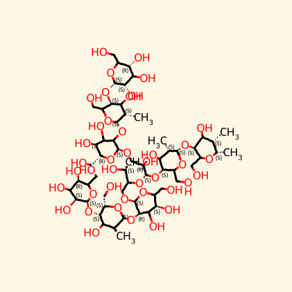 CC1C(O)[C@H](O[C@@H]2OC(CO)[C@H](O)C(O)[C@@H]2O)[C@H](CO)O[C@H]1O[C@@H]1C(O)[C@H](O)C(CO)O[C@@H]1OCC(O[C@@H](O[C@@H]1C(CO)O[C@@H](O[C@@H]2C(CO)O[C@@H](C)[C@@H](C)C2O)[C@@H](C)C1O)[C@H](O)CO[C@H]1O[C@H](CO)[C@@H](O)C(O)C1O[C@@H]1OC(CO)[C@@H](O[C@@H]2OC(CO)[C@H](O)C(O)[C@@H]2O)C(O)[C@@H]1C)[C@H](C)O